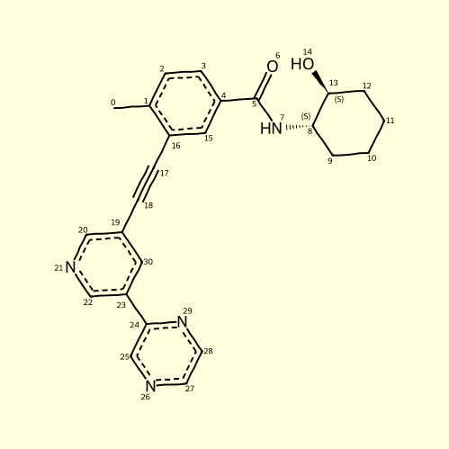 Cc1ccc(C(=O)N[C@H]2CCCC[C@@H]2O)cc1C#Cc1cncc(-c2cnccn2)c1